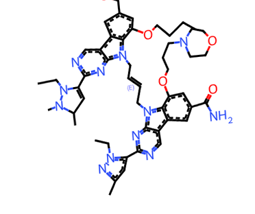 CCCCOc1cc(C(N)=O)cc2c3cnc(C4=CC(C)N(C)N4CC)nc3n(C/C=C/Cn3c4nc(-c5cc(C)nn5CC)ncc4c4cc(C(N)=O)cc(OCCCN5CCOCC5)c43)c12